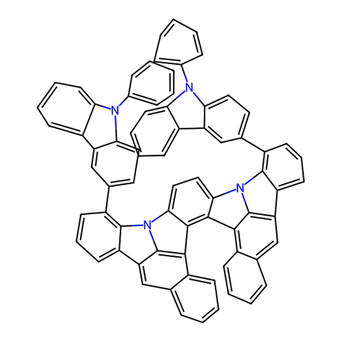 c1ccc(-n2c3ccccc3c3cc(-c4cccc5c6cc7ccccc7c7c8c9c%10c%11ccccc%11cc%11c%12cccc(-c%13ccc%14c(c%13)c%13ccccc%13n%14-c%13ccccc%13)c%12n(c9ccc8n(c45)c67)c%11%10)ccc32)cc1